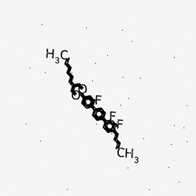 CCCCCCCC1COC(c2ccc(-c3ccc(-c4ccc(CCCCC)c(F)c4F)cc3)c(F)c2)OC1